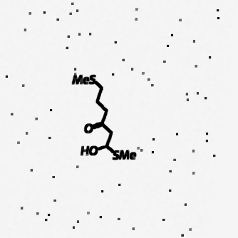 CSCCCC(=O)CC(O)SC